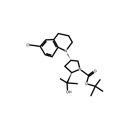 CC(C)(C)OC(=O)N1C[C@@H](N2CCCc3cc(Cl)ccc32)C[C@@H]1C(C)(C)O